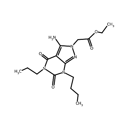 CCCCn1c(=O)n(CCC)c(=O)c2c(N)n(CC(=O)OCC)nc21